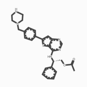 CC(=O)OC[C@@H](Nc1ncnc2cc(-c3ccc(CN4CCNCC4)cc3)sc12)c1ccccc1